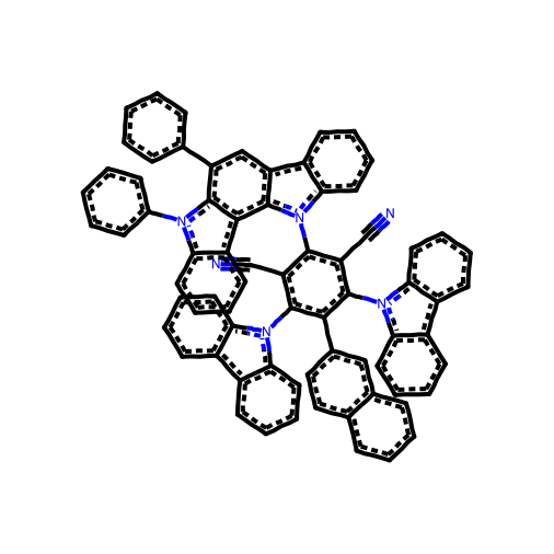 N#Cc1c(-n2c3ccccc3c3ccccc32)c(-c2ccc3ccccc3c2)c(-n2c3ccccc3c3ccccc32)c(C#N)c1-n1c2ccccc2c2cc(-c3ccccc3)c3c(c4ccccc4n3-c3ccccc3)c21